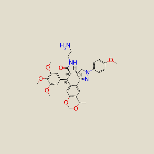 COc1ccc(N2C[C@@H]3C(=N2)c2cc4c(cc2[C@@H](c2cc(OC)c(OC)c(OC)c2)[C@H]3C(=O)NCCN)OCOC4C)cc1